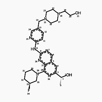 C[C@@H](O)c1cc2cnc(Nc3ccc(CN4CCN(CCO)CC4)cn3)nc2c(N2CCC[C@H](F)C2)n1